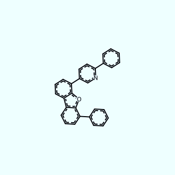 c1ccc(-c2ccc(-c3cccc4c3oc3c(-c5ccccc5)cccc34)cn2)cc1